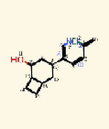 C=C(Cl)/C=C\C(=C/N)[C@@H]1CC(O)C2CCC2C1